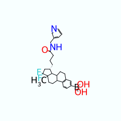 C[C@]12CCC3c4ccc(B(O)O)cc4CCC3C1[C@@H](CCCC(=O)NCc1cccnc1)CC2(F)F